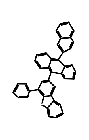 c1ccc(-c2cc(-c3c4ccccc4c(-c4ccc5ccccc5c4)c4ccccc34)cc3c2oc2ccccc23)cc1